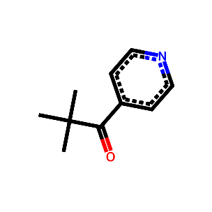 CC(C)(C)C(=O)c1ccncc1